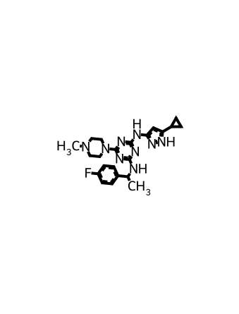 CC(Nc1nc(Nc2cc(C3CC3)[nH]n2)nc(N2CCN(C)CC2)n1)c1ccc(F)cc1